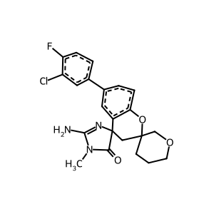 CN1C(=O)C2(CC3(CCCOC3)Oc3ccc(-c4ccc(F)c(Cl)c4)cc32)N=C1N